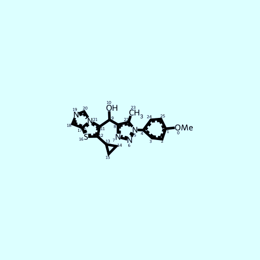 COc1ccc(-n2nnc(C(O)c3c(C4CC4)sc4cncn34)c2C)cc1